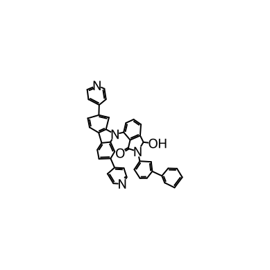 O=C1c2c(cccc2-n2c3cc(-c4ccncc4)ccc3c3ccc(-c4ccncc4)cc32)C(O)N1c1cccc(-c2ccccc2)c1